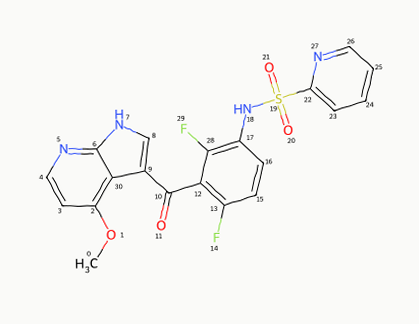 COc1ccnc2[nH]cc(C(=O)c3c(F)ccc(NS(=O)(=O)c4ccccn4)c3F)c12